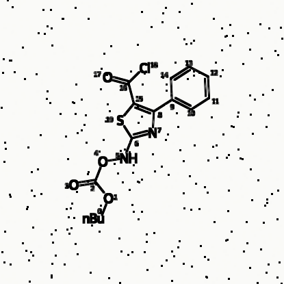 CCCCOC(=O)ONc1nc(-c2ccccc2)c(C(=O)Cl)s1